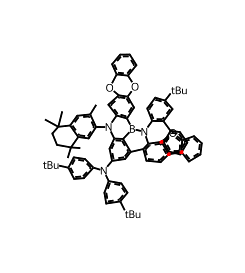 Cc1cc2c(cc1N1c3cc4c(cc3B3c5c(cc(N(c6ccc(C(C)(C)C)cc6)c6ccc(C(C)(C)C)cc6)cc51)-c1ccc5c(oc6ccccc65)c1N3c1ccc(C(C)(C)C)cc1-c1ccccc1)Oc1ccccc1O4)C(C)(C)CCC2(C)C